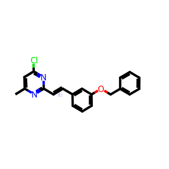 Cc1cc(Cl)nc(/C=C/c2cccc(OCc3ccccc3)c2)n1